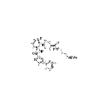 CNCCCCNC(=O)C1CCN(c2c(F)cccc2NC(=O)c2nc(-c3ccnc(C)c3)c[nH]2)CC1